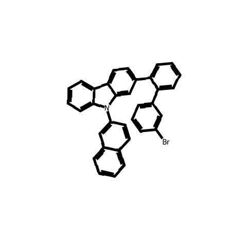 Brc1cccc(-c2ccccc2-c2ccc3c4ccccc4n(-c4ccc5ccccc5c4)c3c2)c1